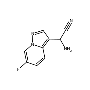 N#CC(N)c1cnn2cc(F)ccc12